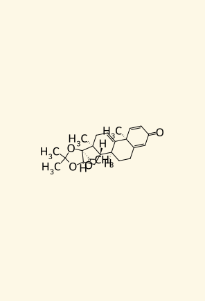 CC(=O)[C@@]12OC(C)(C)O[C@@H]1C[C@H]1[C@@H]3CCC4=CC(=O)C=C[C@]4(C)C3=CC[C@@]12C